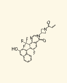 C=CC(=O)N1CC(n2cnc3c(C(F)(F)F)c(-c4cc(O)cc5ccccc45)c(F)cc3c2=O)C1